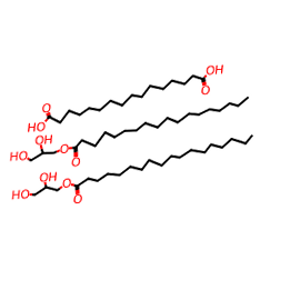 CCCCCCCCCCCCCCCCCC(=O)OCC(O)CO.CCCCCCCCCCCCCCCCCC(=O)OCC(O)CO.O=C(O)CCCCCCCCCCCCCCC(=O)O